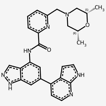 C[C@@H]1CN(Cc2cccc(C(=O)Nc3cc(-c4ccnc5[nH]ccc45)cc4[nH]ncc34)n2)C[C@H](C)O1